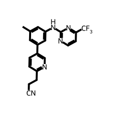 Cc1cc(Nc2nccc(C(F)(F)F)n2)cc(-c2ccc(CCC#N)nc2)c1